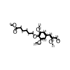 COC(=O)CCCCCOc1c(OC)cc(C=C(C=O)OC)cc1OC